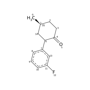 C[C@H]1CCC(=O)C(c2cccc(F)c2)C1